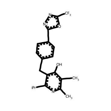 Cc1nc(C(C)C)c(Cc2ccc(-c3nnc(C(F)(F)F)o3)cc2)c(O)c1C